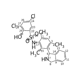 Cc1cc(C)c(C2NCc3ccccc32)c(C)c1NS(=O)(=O)c1cc(Cl)cc(Cl)c1O